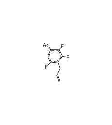 C=CCc1c(F)cc(C(C)=O)c(F)c1F